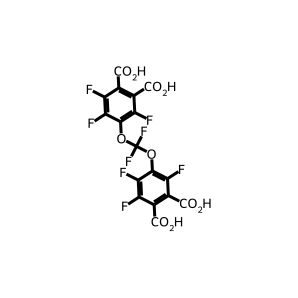 O=C(O)c1c(F)c(F)c(OC(F)(F)Oc2c(F)c(F)c(C(=O)O)c(C(=O)O)c2F)c(F)c1C(=O)O